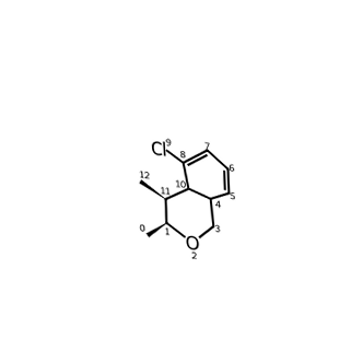 C[C@@H]1OCC2C=CC=C(Cl)C2[C@@H]1C